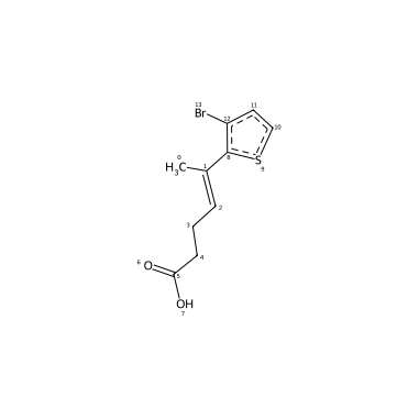 CC(=CCCC(=O)O)c1sccc1Br